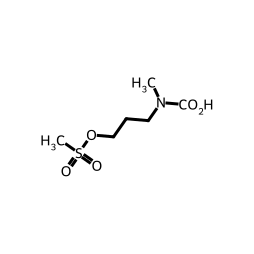 CN(CCCOS(C)(=O)=O)C(=O)O